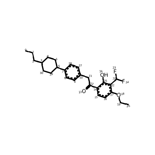 CCCC1CCC(c2ccc(CC(=O)c3ccc(OCC)c(C(F)F)c3O)cc2)CC1